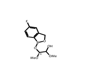 COC(O)[C@@H](OC)OB1OCc2cc(F)ccc21